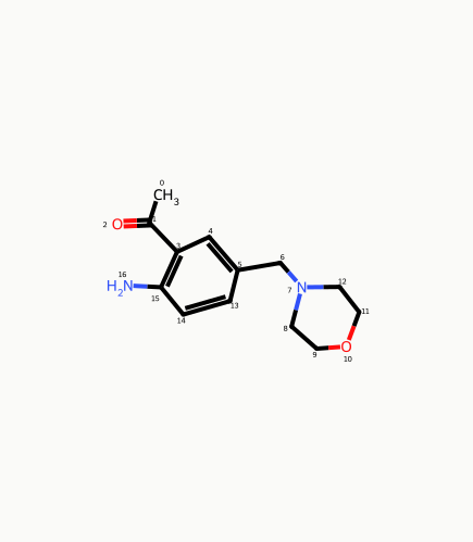 CC(=O)c1cc(CN2CCOCC2)ccc1N